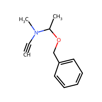 C#CN(C)C(C)OCc1ccccc1